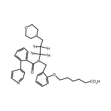 [2H]C([2H])(CN1CCOCC1)C([2H])([2H])N(Cc1ccccc1OCCCCCC(=O)O)C(=O)c1ccccc1-c1ccncc1